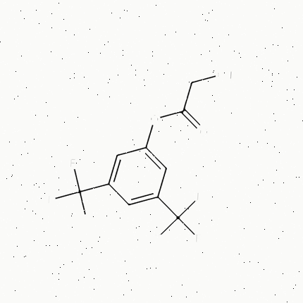 CCC(=O)Oc1cc(C(F)(F)F)cc(C(F)(F)F)c1